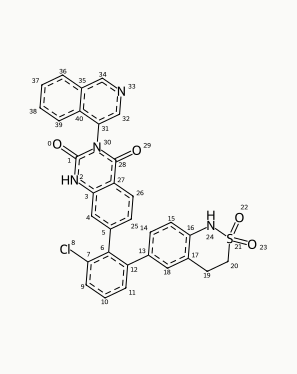 O=c1[nH]c2cc(-c3c(Cl)cccc3-c3ccc4c(c3)CCS(=O)(=O)N4)ccc2c(=O)n1-c1cncc2ccccc12